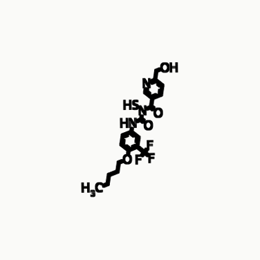 CCCCCOc1ccc(NC(=O)N(S)C(=O)c2ccc(CO)nc2)cc1C(F)(F)F